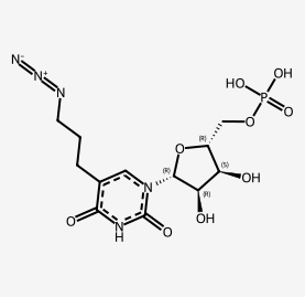 [N-]=[N+]=NCCCc1cn([C@@H]2O[C@H](COP(=O)(O)O)[C@@H](O)[C@H]2O)c(=O)[nH]c1=O